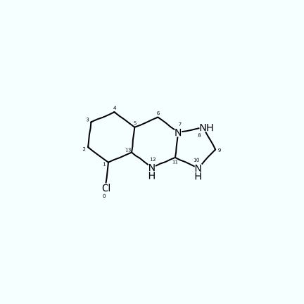 ClC1CCCC2CN3NCNC3NC12